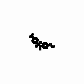 CCOc1ccc(NS(=O)(=O)c2ccc(C(C)C)cc2)cc1